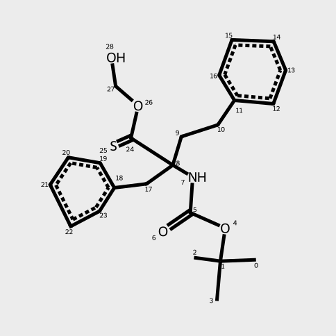 CC(C)(C)OC(=O)NC(CCc1ccccc1)(Cc1ccccc1)C(=S)OCO